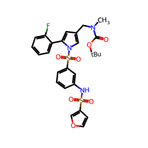 CN(Cc1cc(-c2ccccc2F)n(S(=O)(=O)c2cccc(NS(=O)(=O)c3ccoc3)c2)c1)C(=O)OC(C)(C)C